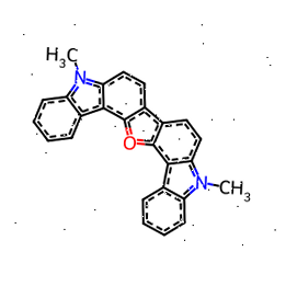 Cn1c2ccccc2c2c3oc4c(ccc5c4c4ccccc4n5C)c3ccc21